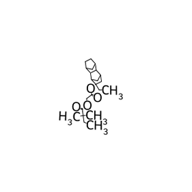 CCC(C)(C)C(=O)OCC(=O)OC1(CC)CC2CC1C1C3CCC(C3)C21